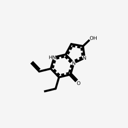 C=Cc1[nH]c2cc(O)nn2c(=O)c1CC